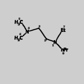 CCCN([CH]CN(C)C)CC